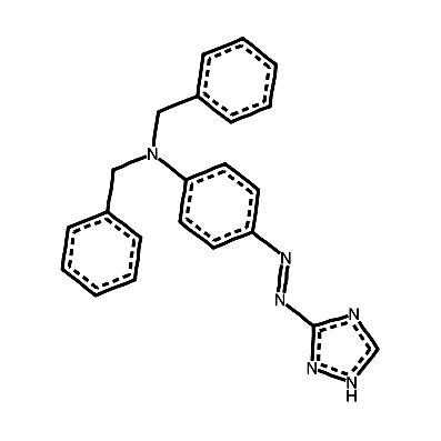 c1ccc(CN(Cc2ccccc2)c2ccc(N=Nc3nc[nH]n3)cc2)cc1